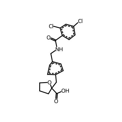 O=C(NCc1ccc(CC2(C(=O)O)CCCO2)cc1)c1ccc(Cl)cc1Cl